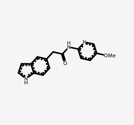 COc1ccc(NC(=O)Cc2ccc3[nH]ccc3c2)nc1